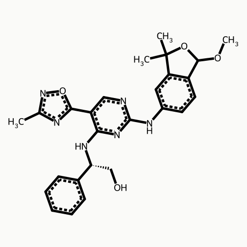 COC1OC(C)(C)c2cc(Nc3ncc(-c4nc(C)no4)c(N[C@H](CO)c4ccccc4)n3)ccc21